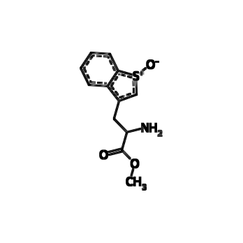 COC(=O)C(N)Cc1c[s+]([O-])c2ccccc12